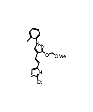 CCc1nc(/C=C/c2cn(-c3ccccc3C)nc2OCOC)cs1